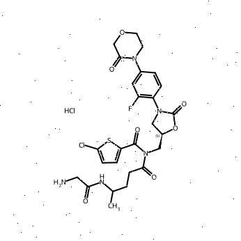 CC(CCC(=O)N(C[C@H]1CN(c2ccc(N3CCOCC3=O)cc2F)C(=O)O1)C(=O)c1ccc(Cl)s1)NC(=O)CN.Cl